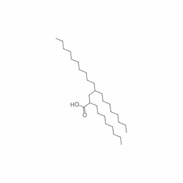 CCCCCCCCCCC(CCCCCCCC)CC(CCCCCCCC)C(=O)O